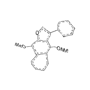 COc1c2ccccc2c(OC)c2c(-c3ccccc3)coc12